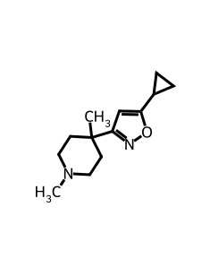 CN1CCC(C)(c2cc(C3CC3)on2)CC1